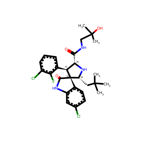 CC(C)(C)C[C@H]1N[C@@H](C(=O)NCC(C)(C)O)[C@H](c2cccc(Cl)c2F)[C@@]12C(=O)Nc1cc(Cl)ccc12